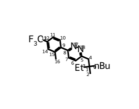 CCCCC(C)(CC)Cc1ccc(-c2ccc(C(F)(F)F)cc2C)nn1